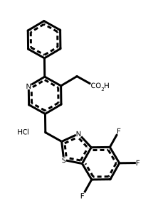 Cl.O=C(O)Cc1cc(Cc2nc3c(F)c(F)cc(F)c3s2)cnc1-c1ccccc1